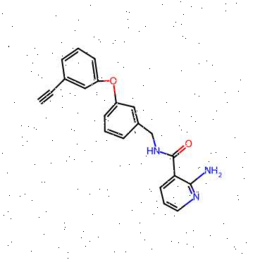 C#Cc1cccc(Oc2cccc(CNC(=O)c3cccnc3N)c2)c1